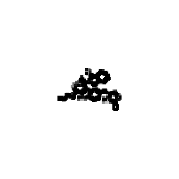 C=CCOC(=O)c1[nH]c2ccc(C[C@H]3COC(=O)N3)cc2c1C1(N2CC3C=CC=CC3C2=O)CO1